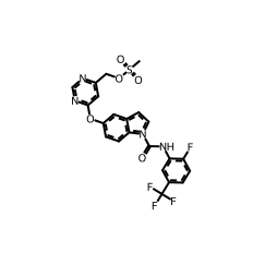 CS(=O)(=O)OCc1cc(Oc2ccc3c(ccn3C(=O)Nc3cc(C(F)(F)F)ccc3F)c2)ncn1